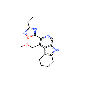 CCc1noc(-c2ncc3[nH]c4c(c3c2COC)CCCC4)n1